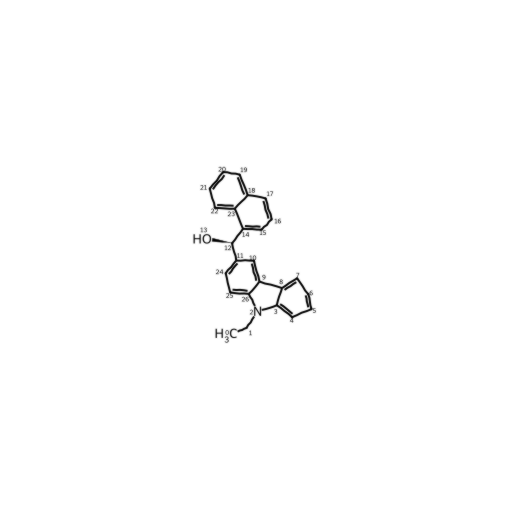 CCn1c2ccccc2c2cc([C@@H](O)c3cccc4ccccc34)ccc21